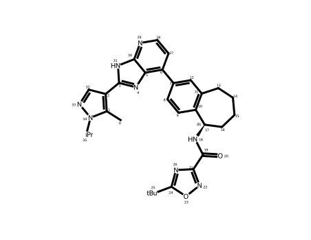 Cc1c(-c2nc3c(-c4ccc5c(c4)CCCC[C@H]5NC(=O)c4noc(C(C)(C)C)n4)ccnc3[nH]2)cnn1C(C)C